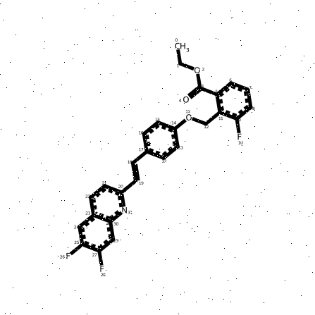 CCOC(=O)c1cccc(F)c1COc1ccc(/C=C/c2ccc3cc(F)c(F)cc3n2)cc1